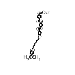 CCCCCCCCOc1ccc(C(=O)Oc2ccc(OC(=O)c3ccc(OCCCCCCCCC[n+]4ccc(N(C)C)cc4)cc3)cc2)cc1